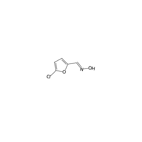 O/N=C/c1ccc(Cl)o1